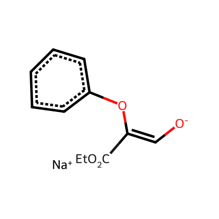 CCOC(=O)/C(=C/[O-])Oc1ccccc1.[Na+]